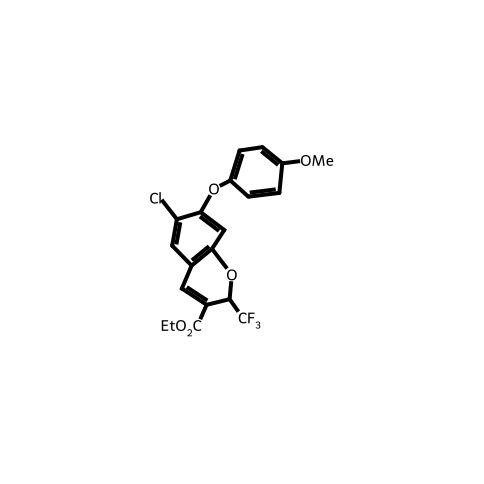 CCOC(=O)C1=Cc2cc(Cl)c(Oc3ccc(OC)cc3)cc2OC1C(F)(F)F